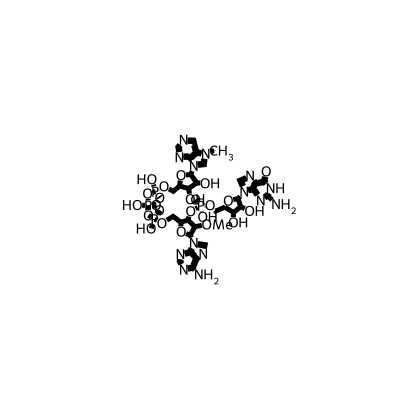 COC1C(OP(=O)(O)OCC2OC(n3cnc4c(=O)[nH]c(N)nc43)C(O)C2O)C(COP(=O)(O)OP(=O)(O)OP(=O)(O)OCC2OC(n3c[n+](C)c4cncnc43)C(O)C2O)OC1n1cnc2c(N)ncnc21